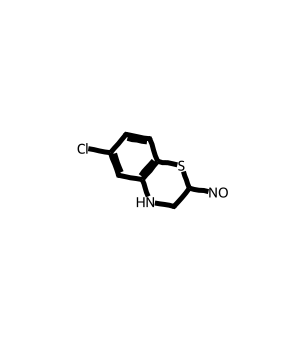 O=NC1CNc2cc(Cl)ccc2S1